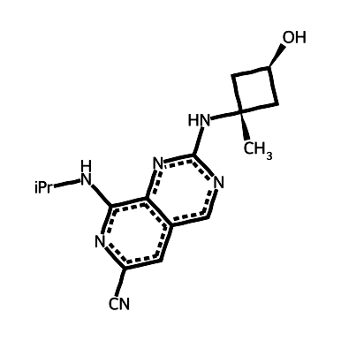 CC(C)Nc1nc(C#N)cc2cnc(N[C@]3(C)C[C@@H](O)C3)nc12